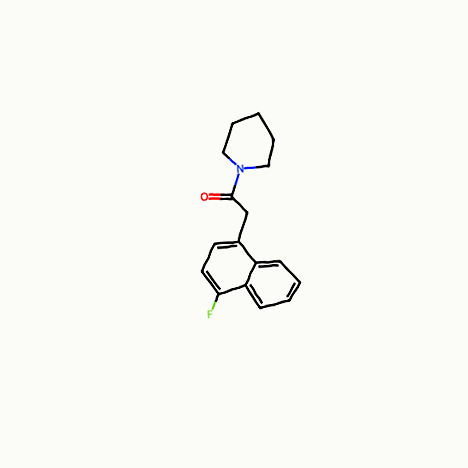 O=C(Cc1ccc(F)c2ccccc12)N1CCCCC1